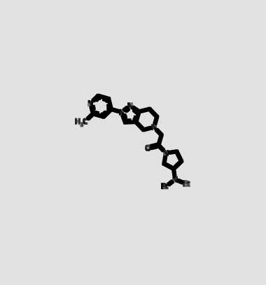 CCN(CC)C1CCN(C(=O)CN2CCc3nn(-c4ccnc(C)c4)cc3C2)C1